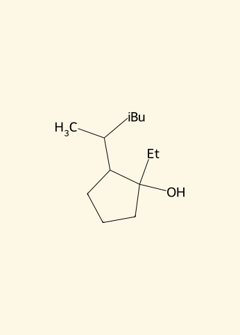 CCC(C)C(C)C1CCCC1(O)CC